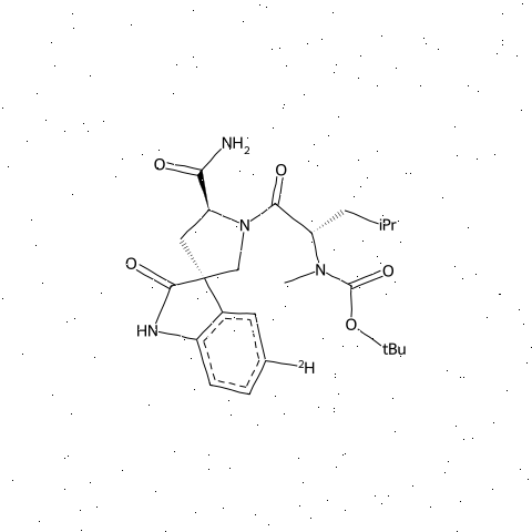 [2H]c1ccc2c(c1)[C@@]1(C[C@@H](C(N)=O)N(C(=O)[C@H](CC(C)C)N(C)C(=O)OC(C)(C)C)C1)C(=O)N2